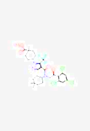 CC1(C)CCC(N(CC(=O)c2c(Cl)cc(Cl)cc2Cl)C(=O)c2cnn([C@H]3CC[C@](C)(C(=O)O)CC3)c2C(F)(F)F)CC1